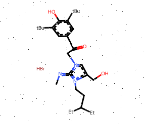 Br.CCC(CC)CCn1c(CO)cn(CC(=O)c2cc(C(C)(C)C)c(O)c(C(C)(C)C)c2)/c1=N/C